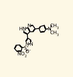 CN(C)c1ccc(-c2cnc3[nH]cc(-c4cnn([S+]([O-])c5ccccc5[N+](=O)[O-])c4)c3c2)cc1